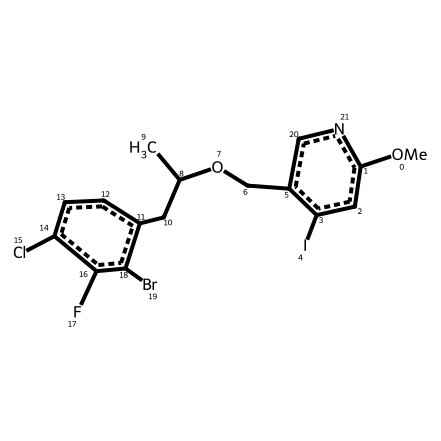 COc1cc(I)c(COC(C)Cc2ccc(Cl)c(F)c2Br)cn1